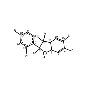 CC1=CC2OC(C)(c3ccc(C)cc3C)C(C)(C)C2C=C1C